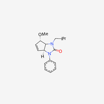 CO[C@H]1C=C[C@H]2C1N(CC(C)C)C(=O)N2c1ccccc1